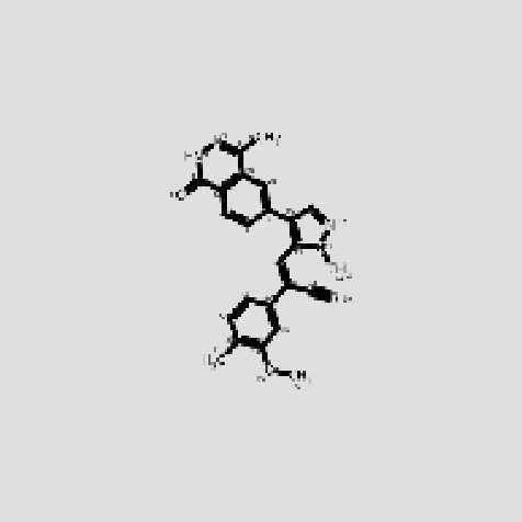 [CH2]c1n[nH]c(=O)c2ccc(-c3cnn(C)c3C=C(C#N)c3ccc(C)c(OC)c3)cc12